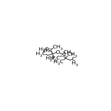 CCC(C)(C)[Si](C)(C)O[C@](P)(CC)[SiH](C)C